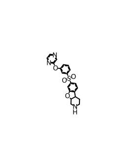 O=S(=O)(c1cccc(Oc2cnccn2)c1)c1ccc2c(c1)OC1CNCCC21